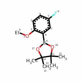 CCOc1ccc(F)cc1B1OC(C)(C)C(C)(C)O1